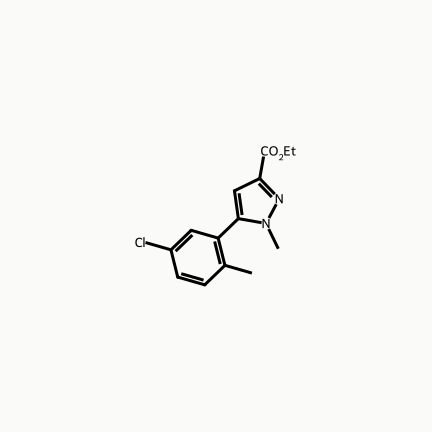 CCOC(=O)c1cc(-c2cc(Cl)ccc2C)n(C)n1